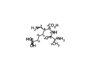 C[C@H](N)C(=O)N[C@H](C(=O)O)[C@H](CN)CCCB(O)O